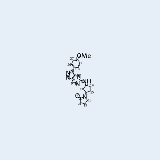 COc1ccc(-n2nnc3cnc(NC4CC[C@@H](N5CCCC5=O)C4)nc32)cc1